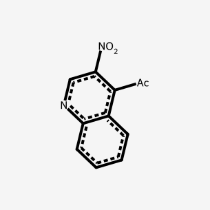 CC(=O)c1c([N+](=O)[O-])cnc2ccccc12